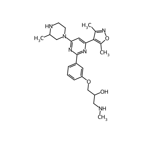 CNCC(O)COc1cccc(-c2nc(-c3c(C)noc3C)cc(N3CCNC(C)C3)n2)c1